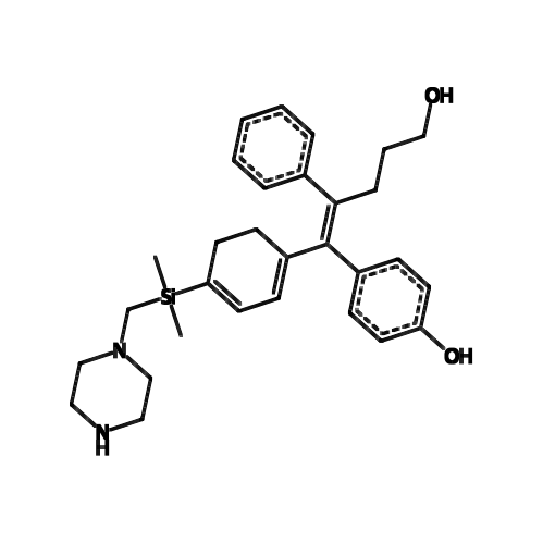 C[Si](C)(CN1CCNCC1)C1=CC=C(/C(=C(/CCCO)c2ccccc2)c2ccc(O)cc2)CC1